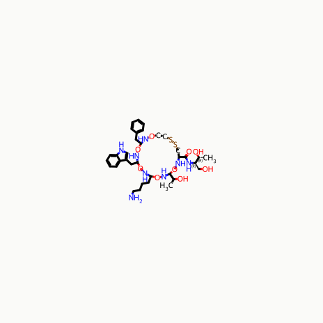 CC(O)C1NOC(CCCCN)NOC(Cc2c[nH]c3ccccc23)NOC(Cc2ccccc2)NOCCSSCC(C(=O)N[C@H](CO)[C@@H](C)O)NO1